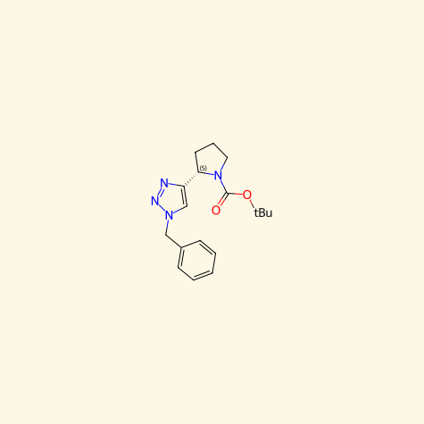 CC(C)(C)OC(=O)N1CCC[C@H]1c1cn(Cc2ccccc2)nn1